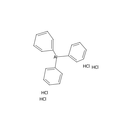 Cl.Cl.Cl.Cl.c1cc[c]([Al]([c]2ccccc2)[c]2ccccc2)cc1